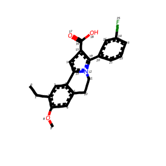 CCc1cc2c(cc1OC)CCn1c-2cc(C(=O)O)c1-c1cccc(F)c1